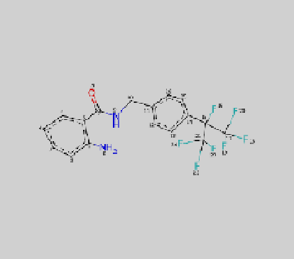 Nc1ccccc1C(=O)NCc1ccc(C(F)(C(F)(F)F)C(F)(F)F)cc1